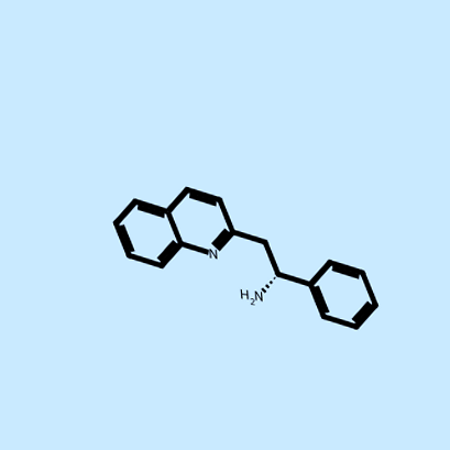 N[C@H](Cc1ccc2ccccc2n1)c1ccccc1